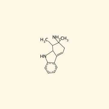 CC1C2Nc3ccccc3C2=CCC1(C)N